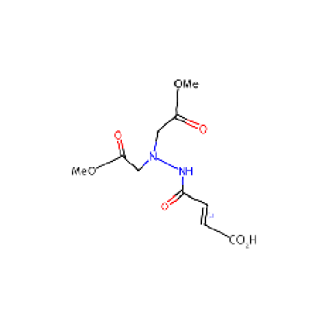 COC(=O)CN(CC(=O)OC)NC(=O)/C=C/C(=O)O